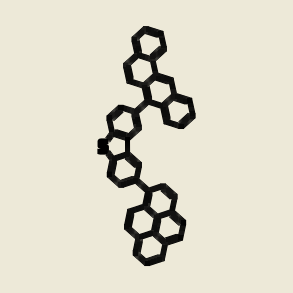 c1ccc2c(-c3ccc4sc5ccc(-c6ccc7ccc8cccc9ccc6c7c89)cc5c4c3)c3ccc4ccccc4c3cc2c1